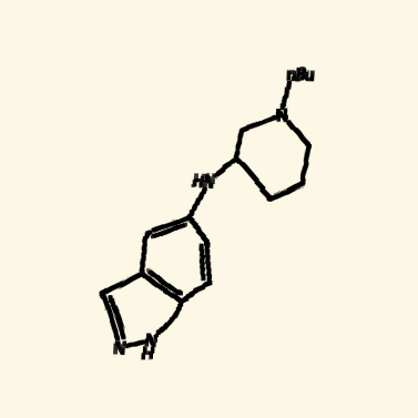 CCCCN1CCCC(Nc2ccc3[nH]ncc3c2)C1